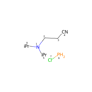 CC(C)N(CCC#N)C(C)C.PCl